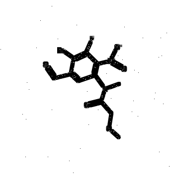 COCC(=O)N(C)c1cc(C=O)c(Br)c(F)c1[N+](=O)[O-]